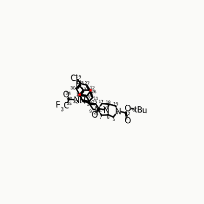 CC(C)(C)OC(=O)N1CC2CN(Cc3ccc(F)cc3)CC(C1)N2C(=O)C=Cc1ccc(Cl)cc1NC(=O)C(F)(F)F